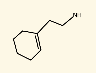 [NH]CCC1=CCCCC1